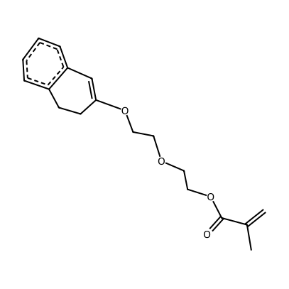 C=C(C)C(=O)OCCOCCOC1=Cc2ccccc2CC1